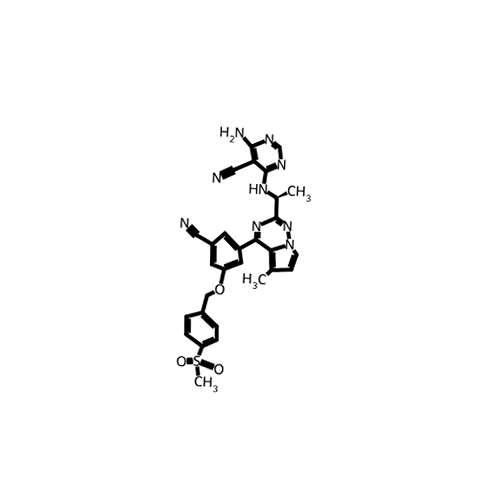 Cc1ccn2nc([C@H](C)Nc3ncnc(N)c3C#N)nc(-c3cc(C#N)cc(OCc4ccc(S(C)(=O)=O)cc4)c3)c12